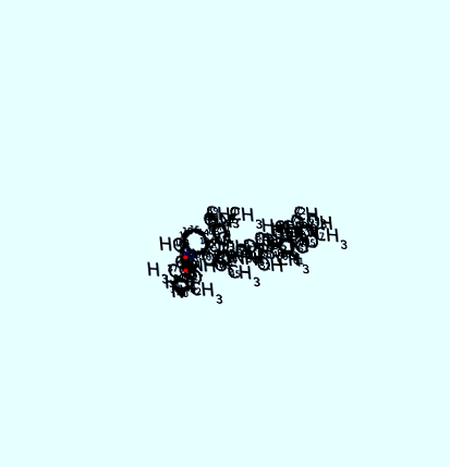 CCN[C@H]1CO[C@@H](O[C@H]2[C@H](O[C@H]3C#CC=CC#C[C@]4(O)CC(=O)C(NC(=O)OC)=C3/C4=C\CSSc3c(C)cncc3C)O[C@H](C)[C@@H](NO[C@H]3C[C@H](O)[C@H](SC(=O)c4c(C)c(I)c(O[C@@H]5O[C@@H](C)[C@H](O)[C@@H](OC)[C@H]5O)c(OC)c4OC)[C@@H](C)O3)[C@@H]2O)C[C@@H]1OC